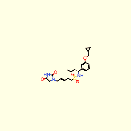 CCC[C@@H](NS(=O)(=O)CC/C=C/CN1CC(=O)NC1=O)c1cccc(OCC2CC2)c1